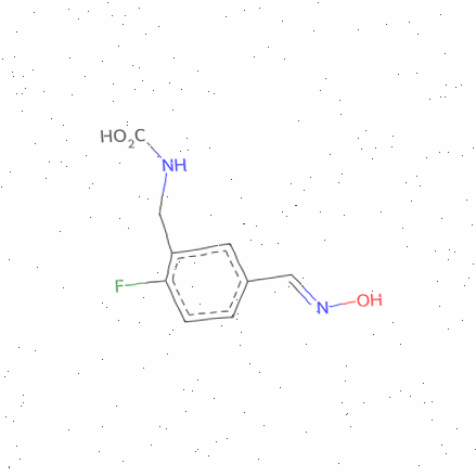 O=C(O)NCc1cc(/C=N/O)ccc1F